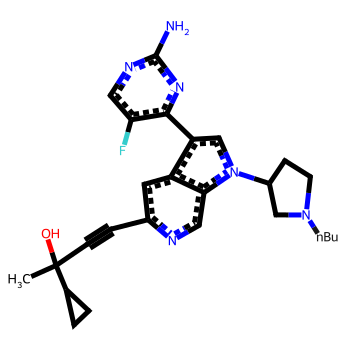 CCCCN1CCC(n2cc(-c3nc(N)ncc3F)c3cc(C#CC(C)(O)C4CC4)ncc32)C1